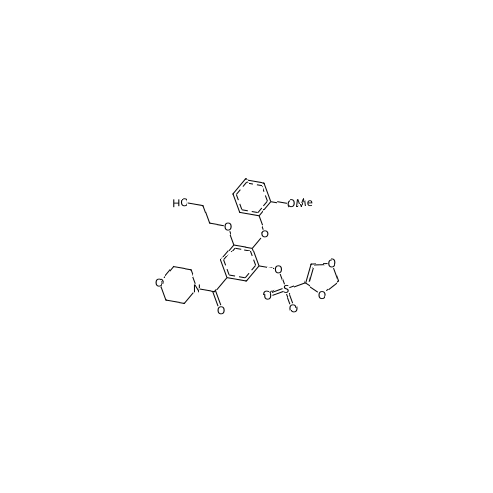 COc1ccccc1Oc1c(OCCO)cc(C(=O)N2CCOCC2)cc1OS(=O)(=O)C1=COCO1